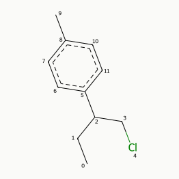 CCC(CCl)c1ccc(C)cc1